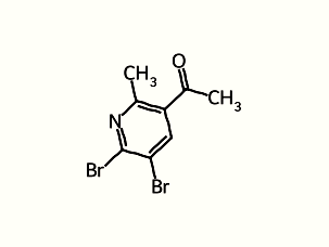 CC(=O)c1cc(Br)c(Br)nc1C